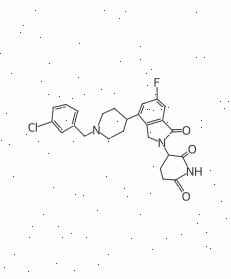 O=C1CCC(N2Cc3c(cc(F)cc3C3CCN(Cc4cccc(Cl)c4)CC3)C2=O)C(=O)N1